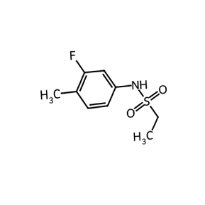 CCS(=O)(=O)Nc1ccc(C)c(F)c1